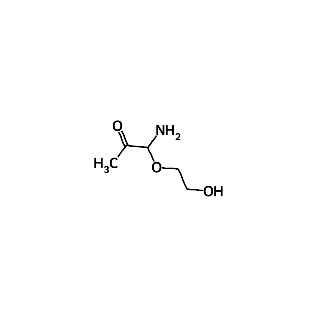 CC(=O)C(N)OCCO